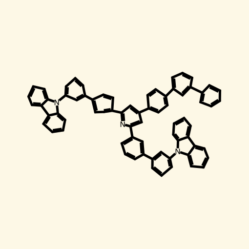 c1ccc(-c2cccc(-c3ccc(-c4cc(-c5ccc(-c6cccc(-n7c8ccccc8c8ccccc87)c6)cc5)nc(-c5cccc(-c6cccc(-n7c8ccccc8c8ccccc87)c6)c5)c4)cc3)c2)cc1